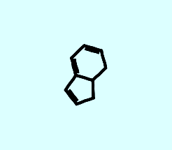 C1=CCC2CC=CC2=C1